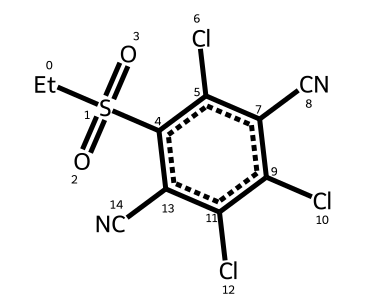 CCS(=O)(=O)c1c(Cl)c(C#N)c(Cl)c(Cl)c1C#N